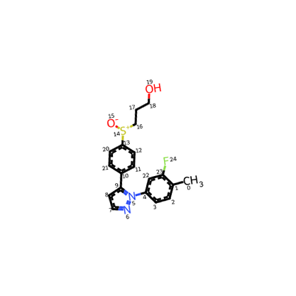 Cc1ccc(-n2nccc2-c2ccc([S+]([O-])CCCO)cc2)cc1F